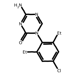 CCc1cc(Cl)cc(CC)c1-n1cnc(N)nc1=O